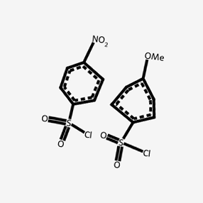 COc1ccc(S(=O)(=O)Cl)cc1.O=[N+]([O-])c1ccc(S(=O)(=O)Cl)cc1